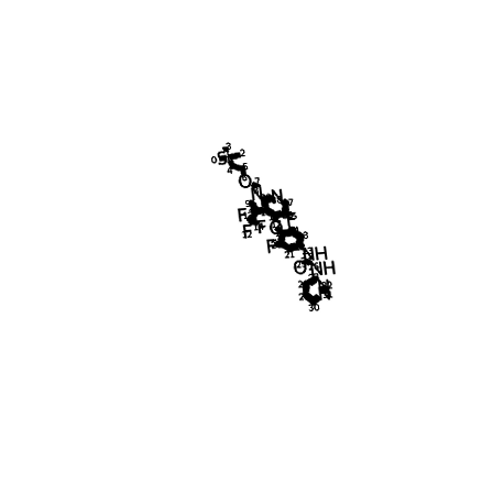 C[Si](C)(C)CCOCn1cc(C(F)(F)F)c2c(Oc3c(F)cc(NC(=O)Nc4cccnn4)cc3F)ccnc21